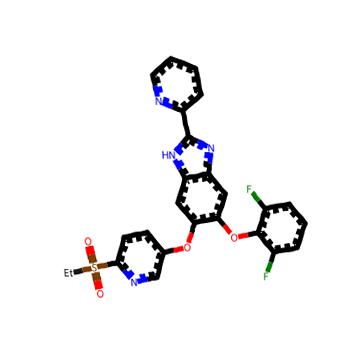 CCS(=O)(=O)c1ccc(Oc2cc3[nH]c(-c4ccccn4)nc3cc2Oc2c(F)cccc2F)cn1